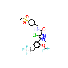 CCS(=O)(=O)C1CCC(CNC(=O)c2nn(C)c(-c3ccc(CC(C)(C)C(F)(F)F)cc3OC(F)F)c2Cl)CC1